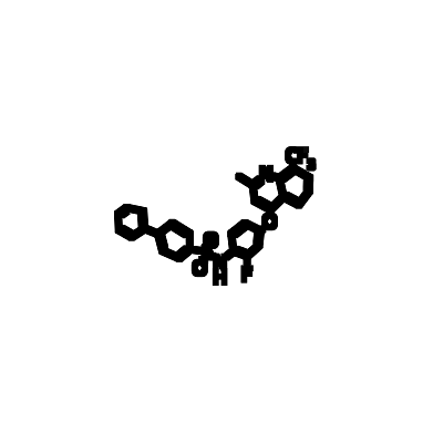 Cc1cc(Oc2ccc(NS(=O)(=O)c3ccc(-c4ccccc4)cc3)c(F)c2)c2cccc(C(F)(F)F)c2n1